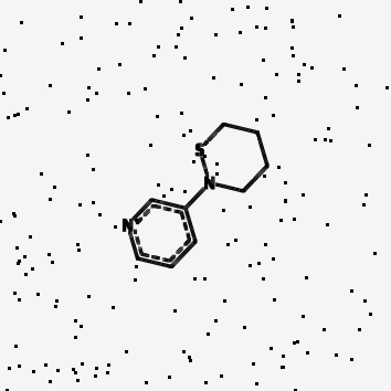 c1cncc(N2CCCCS2)c1